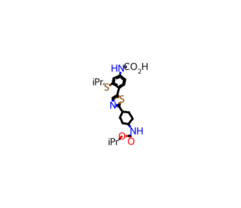 CC(C)OC(=O)NC1CCC(c2ncc(-c3ccc(NC(=O)O)cc3SC(C)C)s2)CC1